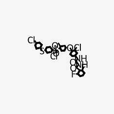 Cc1cc(Oc2ccc(NC(=O)NC(=O)c3c(F)cccc3F)cc2Cl)ccc1S(=O)(=O)c1ccc(Sc2ccc(Cl)cc2)cc1Cl